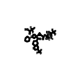 CC(C)(C)OC(=O)C1CC1[C@]1(C(=O)N2CCc3ncc(C(F)(F)F)cc3C2)C=C[C@@H](N2CCCCC2)C1.O=C(O)C(F)(F)F.O=C(O)C(F)(F)F